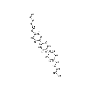 C=CCCOCc1ccc(-c2ccc(C3CCC(CCC=CC)CC3)cc2)cc1